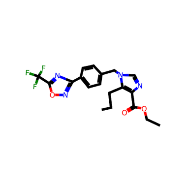 CCCc1c(C(=O)OCC)ncn1Cc1ccc(-c2noc(C(F)(F)F)n2)cc1